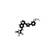 COc1cccc(-c2ccc(-c3ccnc4ccc(/C=C5\SC(=O)NC5=O)cc34)s2)c1